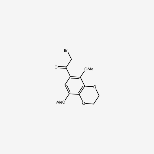 COc1cc(C(=O)CBr)c(OC)c2c1OCCO2